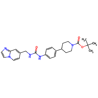 CC(C)(C)OC(=O)N1CCC(c2ccc(NC(=O)NCc3ccn4ccnc4c3)cc2)CC1